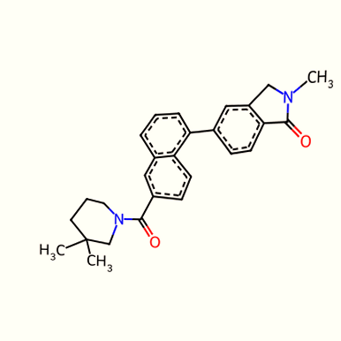 CN1Cc2cc(-c3cccc4cc(C(=O)N5CCCC(C)(C)C5)ccc34)ccc2C1=O